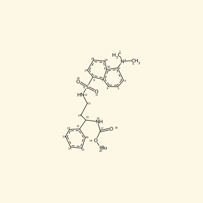 CN(C)c1cccc2c(S(=O)(=O)NCCC(NC(=O)OC(C)(C)C)c3ccccc3)cccc12